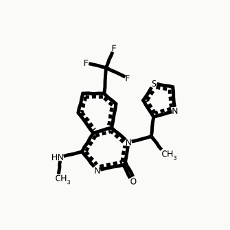 CNc1nc(=O)n(C(C)c2cscn2)c2cc(C(F)(F)F)ccc12